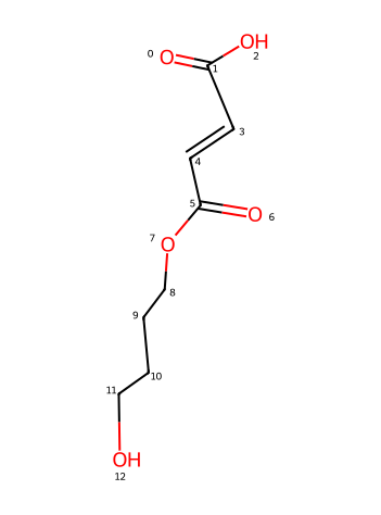 O=C(O)/C=C/C(=O)OCCCCO